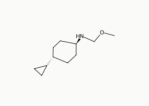 COCN[C@H]1CC[C@H](C2CC2)CC1